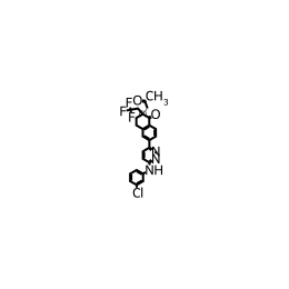 CC(=O)C[C@@]1(CC(F)(F)F)CCc2cc(-c3ccc(Nc4cccc(Cl)c4)nn3)ccc2C1=O